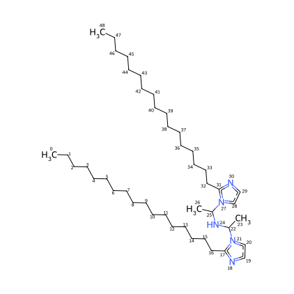 CCCCCCCCCCCCCCCCCc1nccn1C(C)NC(C)n1ccnc1CCCCCCCCCCCCCCCCC